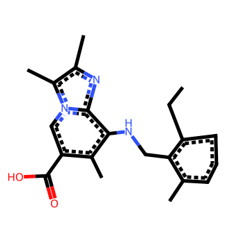 CCc1cccc(C)c1CNc1c(C)c(C(=O)O)cn2c(C)c(C)nc12